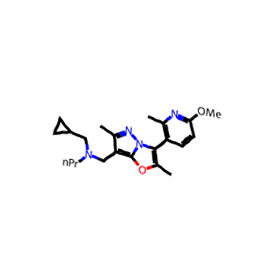 CCCN(Cc1c(C)nn2c(-c3ccc(OC)nc3C)c(C)oc12)CC1CC1